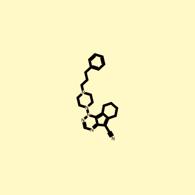 N#Cc1c2ncnn(N3CCN(CCCc4ccccc4)CC3)c-2c2c1CCCC2